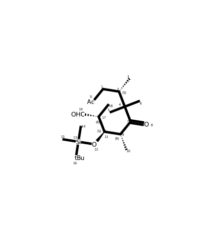 CC(=O)C[C@H](C)C(C)(C)C(=O)[C@H](C)[C@@H](O[Si](C)(C)C(C)(C)C)[C@@H](C)C=O